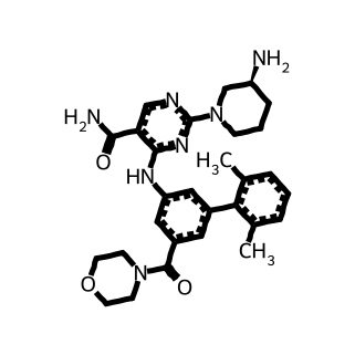 Cc1cccc(C)c1-c1cc(Nc2nc(N3CCC[C@H](N)C3)ncc2C(N)=O)cc(C(=O)N2CCOCC2)c1